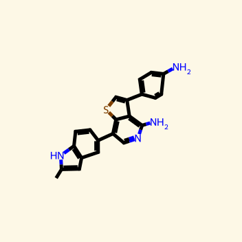 Cc1cc2cc(-c3cnc(N)c4c(-c5ccc(N)cc5)csc34)ccc2[nH]1